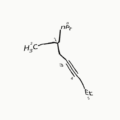 [CH2]CCC(C)C#CCC